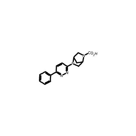 O=C(O)N1CC2CC1CN2c1ccc(-c2ccccc2)nn1